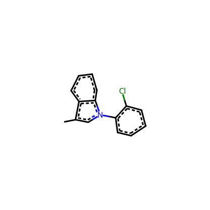 Cc1cn(-c2ccccc2Cl)c2ccccc12